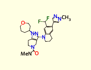 CNC(=O)N1CCc2c(c(N3CCCc4cc(-c5cnn(C)c5)c(C(F)F)cc43)nn2[C@H]2CCCOCC2)C1